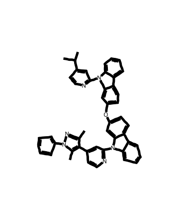 Cc1nn(-c2ccccc2)c(C)c1-c1ccnc(-n2c3ccccc3c3ccc(Oc4ccc5c6ccccc6n(-c6cc(C(C)C)ccn6)c5c4)cc32)c1